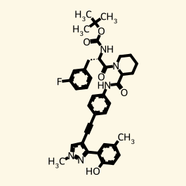 Cc1ccc(O)c(-c2nn(C)cc2C#Cc2ccc(NC(=O)C3CCCCN3C(=O)[C@H](Cc3cccc(F)c3)NC(=O)OC(C)(C)C)cc2)c1